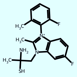 Cc1cccc(F)c1-[n+]1c(C)n(CC(C)(N)S)c2cc(F)ccc21